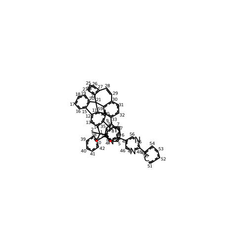 CC1(C)c2ccccc2-c2cc3c(cc21)-c1ccccc1C31c2ccccc2C=Cc2ccc(-c3cc(-c4ccccc4)nc(-c4cnc(-c5ccccc5)nc4)n3)cc21